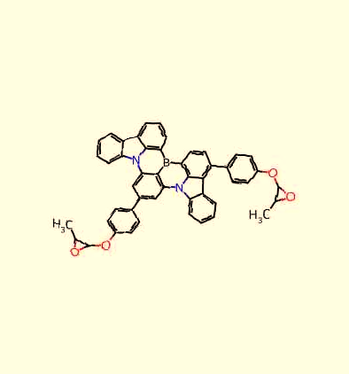 CC1OC1Oc1ccc(-c2cc3c4c(c2)-n2c5ccccc5c5c(-c6ccc(OC7OC7C)cc6)ccc(c52)B4c2cccc4c5ccccc5n-3c24)cc1